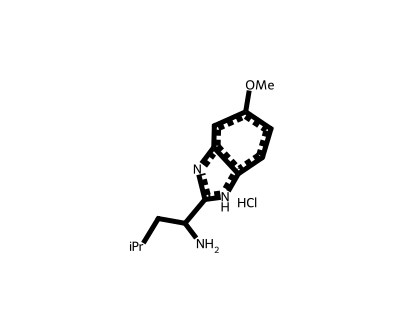 COc1ccc2[nH]c(C(N)CC(C)C)nc2c1.Cl